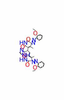 CCOc1ccccc1N=NC1C(=O)NC(=O)C(CC(C2=C(C)C(N=Nc3ccccc3OCC)C(=O)NC2=O)c2ncc[nH]2)=C1C